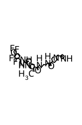 CCc1cc(NC(=O)c2ncc(-c3ccc(OC(F)F)c(F)c3F)[nH]2)ccc1C(=O)NCCCNC(=O)C1CCN(CC2CCNC2)CC1